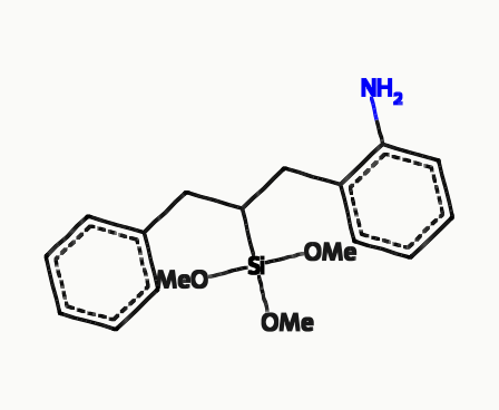 CO[Si](OC)(OC)C(Cc1ccccc1)Cc1ccccc1N